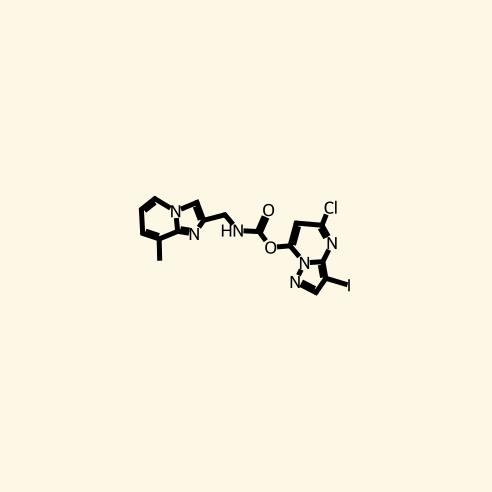 Cc1cccn2cc(CNC(=O)Oc3cc(Cl)nc4c(I)cnn34)nc12